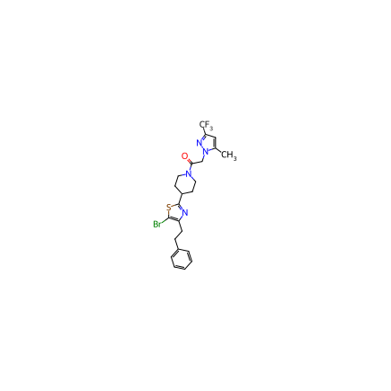 Cc1cc(C(F)(F)F)nn1CC(=O)N1CCC(c2nc(CCc3ccccc3)c(Br)s2)CC1